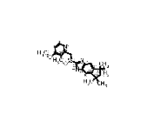 COc1ccnc(C[S+]([O-])c2nc3cc4c(cc3[nH]2)C(C)(C)CC4(C)C)c1C